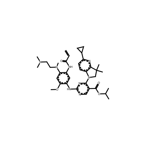 C=CC(=O)Nc1cc(Nc2ncc(C(=O)OC(C)C)c(N3CC(C)(C)c4nc(C5CC5)ccc43)n2)c(OC)cc1N(C)CCN(C)C